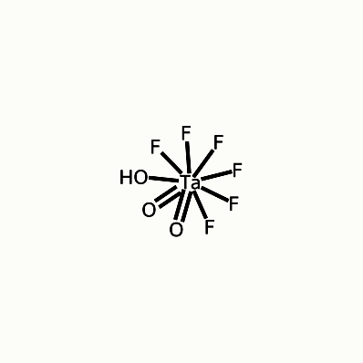 [O]=[Ta](=[O])([OH])([F])([F])([F])([F])([F])[F]